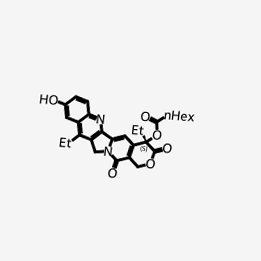 CCCCCCC(=O)O[C@]1(CC)C(=O)OCc2c1cc1n(c2=O)Cc2c-1nc1ccc(O)cc1c2CC